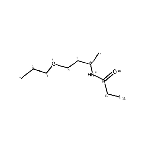 CCCOCCC(C)NC(=O)CI